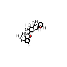 C[C@@H](NC(=O)c1cn2c(c(O)c1=O)C(=O)N1[C@H]3CC[C@@H](CC3)O[C@@H]1C2)c1c(F)cc(F)cc1F